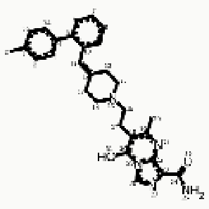 Cc1ccc(-c2ccccc2C=C2CCN(CCc3c(C)nc4c(C(N)=O)ncn4c3O)CC2)cc1